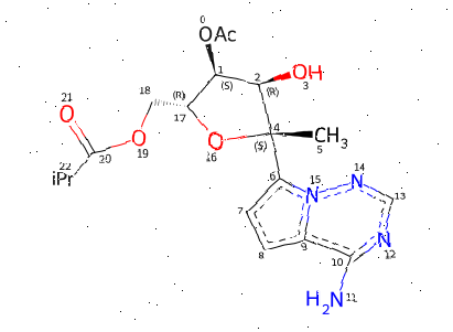 CC(=O)O[C@H]1[C@@H](O)[C@](C)(c2ccc3c(N)ncnn23)O[C@@H]1COC(=O)C(C)C